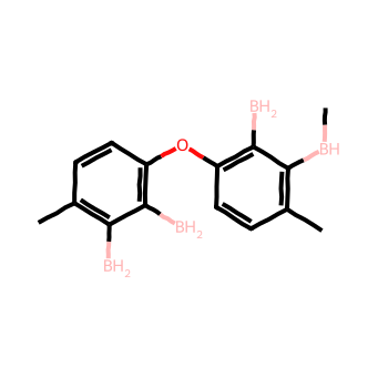 Bc1c(C)ccc(Oc2ccc(C)c(BC)c2B)c1B